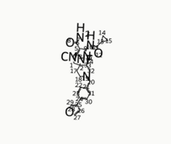 N#CCC1(n2cc(C(N)=O)c(NC(=O)C3CC3)n2)CCN(Cc2ccc(-c3ccoc3)cc2)CC1F